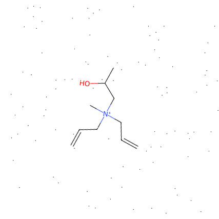 C=CC[N+](C)(CC=C)CC(C)O